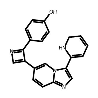 Oc1ccc(C2=NC=C2c2ccc3ncc(C4=CC=CCN4)n3c2)cc1